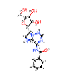 O=C(Nc1ncnn2c([C@@H]3O[C@H](CO)C(O)[C@@H]3O)cnc12)c1ccccc1